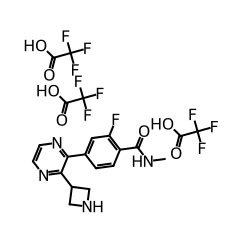 CNC(=O)c1ccc(-c2nccnc2C2CNC2)cc1F.O=C(O)C(F)(F)F.O=C(O)C(F)(F)F.O=C(O)C(F)(F)F